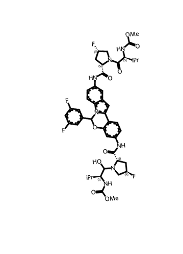 COC(=O)N[C@@H](C(C)C)C(O)N1C[C@H](F)C[C@H]1C(=O)Nc1ccc2c(c1)OC(c1cc(F)cc(F)c1)n1c-2cc2cc(NC(=O)[C@@H]3C[C@H](F)CN3C(=O)[C@@H](NC(=O)OC)C(C)C)ccc21